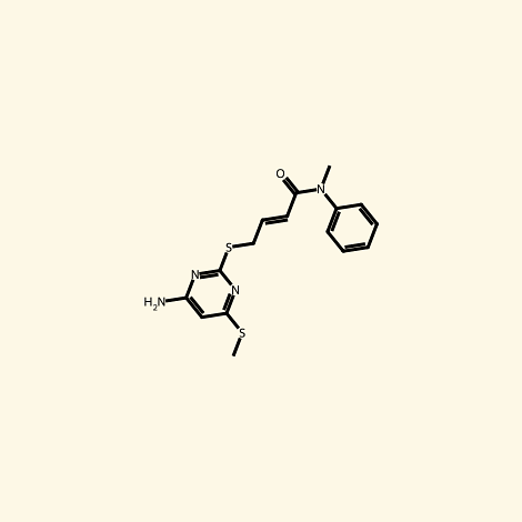 CSc1cc(N)nc(SCC=CC(=O)N(C)c2ccccc2)n1